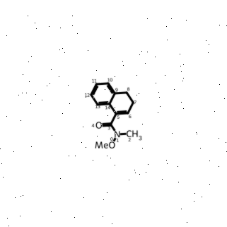 CON(C)C(=O)C1=CCCc2ccccc21